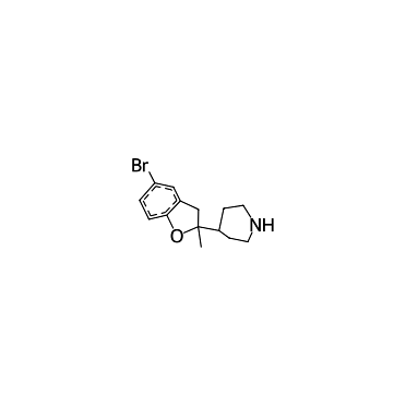 CC1(C2CCNCC2)Cc2cc(Br)ccc2O1